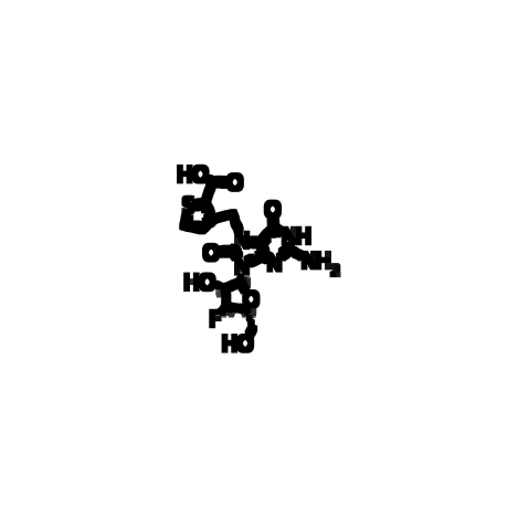 Nc1nc2c(c(=O)[nH]1)n(Cc1ccsc1C(=O)O)c(=O)n2[C@@H]1O[C@H](CO)[C@@H](F)[C@H]1O